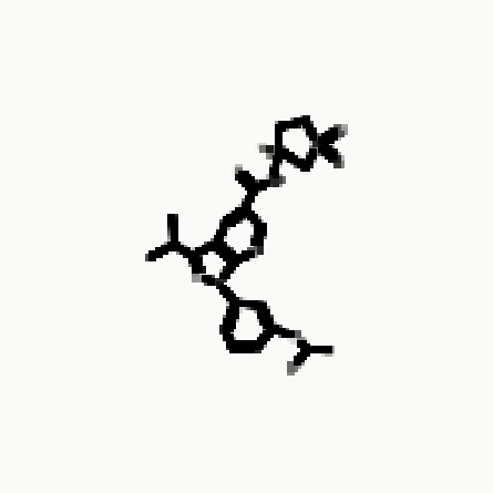 CC(C)c1nn(-c2cccc(OC(F)F)c2)c2ncc(C(=O)N[C@@]3(C)CCS(=O)(=O)C3)cc12